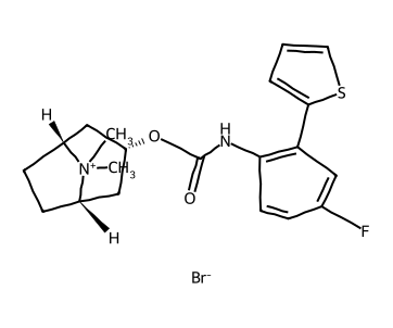 C[N+]1(C)[C@@H]2CC[C@H]1C[C@@H](OC(=O)Nc1ccc(F)cc1-c1cccs1)C2.[Br-]